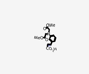 COC(=O)CN(CC(=O)OC)c1cccc(/C=C/C(=O)O)c1